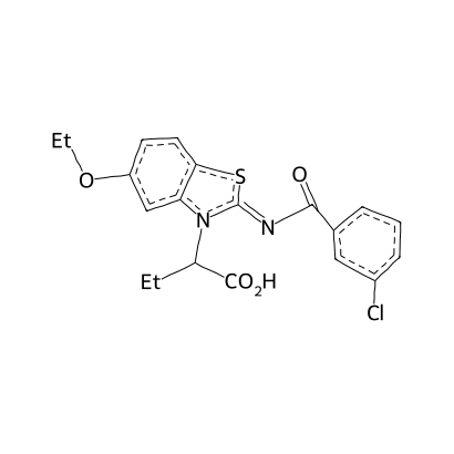 CCOc1ccc2sc(=NC(=O)c3cccc(Cl)c3)n(C(CC)C(=O)O)c2c1